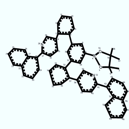 CC1(C)OB(c2cc(-c3ccccc3-c3ccc(-c4cccc5ccccc45)nc3)cc(-c3ccccc3-c3ccc(-c4cccc5ccccc45)nc3)c2)OC1(C)C